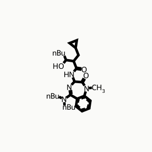 CCCCC(O)C(CC1CC1)C(=O)NC1N=C(N(CCCC)CCCC)c2ccccc2N(C)C1=O